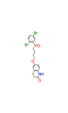 O=C1CCc2cc(OCCCC[S+]([O-])c3cc(Br)ccc3Br)ccc2N1